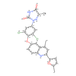 Cc1ccc(-c2cc(C)c3cc(Oc4c(Cl)cc(-n5nc(C#N)c(=O)[nH]c5=O)cc4Cl)ccc3n2)o1